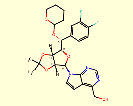 CC1(C)O[C@H]2[C@@H](O1)[C@H](n1ccc3c(CO)ncnc31)O[C@@H]2[C@H](OC1CCCCO1)c1ccc(F)c(F)c1